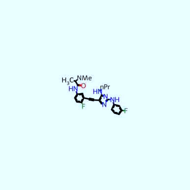 CCCNc1nc(Nc2cccc(F)c2)ncc1C#Cc1cc(NC(=O)C(C)NC)ccc1F